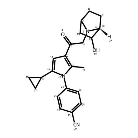 Cc1c(C(=O)CN2C3CC[C@@H]2C(O)C3)cc(C2CC2)n1-c1ccc(C#N)cc1